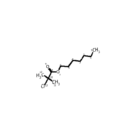 CCCCCCCOC(=O)C(C)(C)Cl